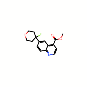 COC(=O)c1ccnc2ccc(C3(F)CCOCC3)cc12